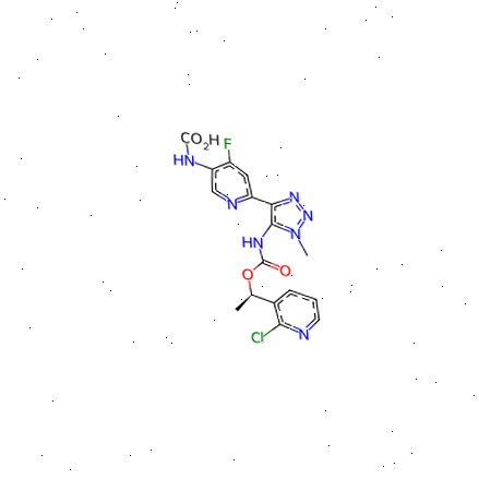 C[C@@H](OC(=O)Nc1c(-c2cc(F)c(NC(=O)O)cn2)nnn1C)c1cccnc1Cl